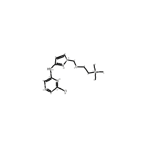 C[Si](C)(C)CCOCn1ccc(Nc2cncc(Cl)n2)n1